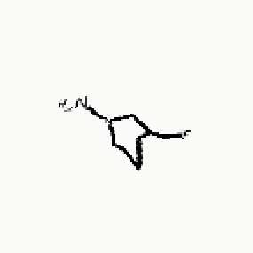 NN1CCC(F)C1